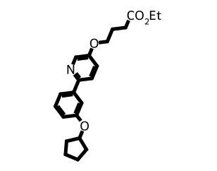 CCOC(=O)CCCOc1ccc(-c2cccc(OC3CCCC3)c2)nc1